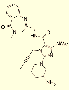 CC#CCn1c(N2CCCC(N)C2)nc(NC)c1C(=O)NCC1=Nc2ccccc2C(=O)N(C)C1